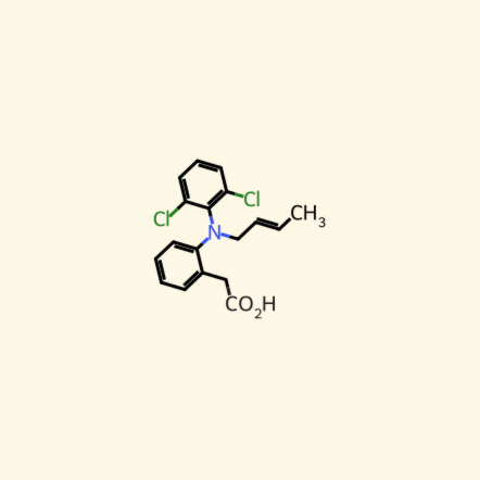 CC=CCN(c1ccccc1CC(=O)O)c1c(Cl)cccc1Cl